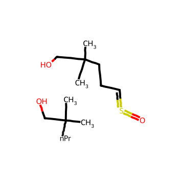 CC(C)(CO)CCC=S=O.CCCC(C)(C)CO